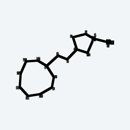 CCC(C)N1CCC(CCC2CCCCCCCC2)C1